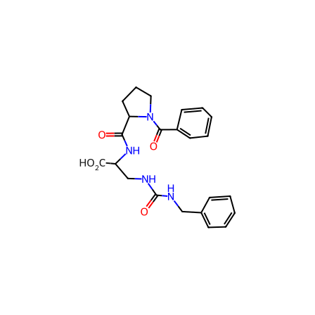 O=C(NCc1ccccc1)NCC(NC(=O)C1CCCN1C(=O)c1ccccc1)C(=O)O